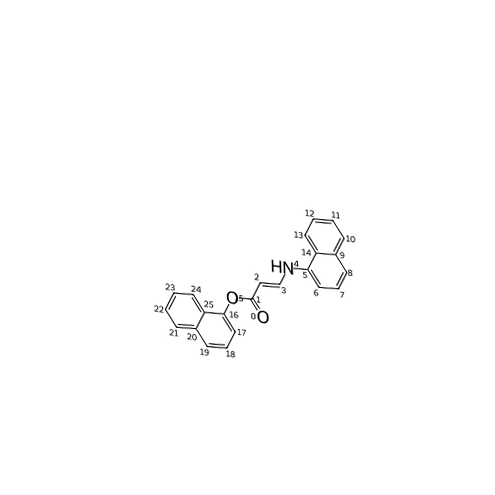 O=C(C=CNc1cccc2ccccc12)Oc1cccc2ccccc12